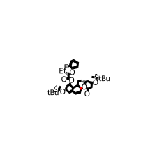 CC[C@H](Oc1ccccc1F)C(=O)OC1CC(O[Si](C)(C)C(C)(C)C)C=C2C=CC(C)C(CC[C@@H]3C[C@@H](O[Si](C)(C)C(C)(C)C)CC(=O)O3)C21